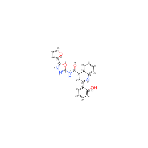 O=C(Nc1nnc(-c2ccco2)o1)c1cc(-c2ccccc2O)nc2ccccc12